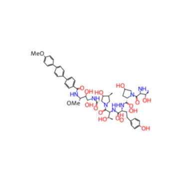 COc1ccc(-c2ccc(-c3ccc(C(=O)NC(OC)[C@@H](O)[C@@H](O)NC(=O)[C@@H]4[C@@H](O)[C@@H](C)CN4C(=O)[C@@H](NC(=O)[C@@H](NC(=O)[C@@H]4C[C@@H](O)CN4C(=O)[C@@H](N)[C@@H](C)O)[C@H](O)[C@@H](O)c4ccc(O)cc4)[C@@H](C)O)cc3)cc2)cc1